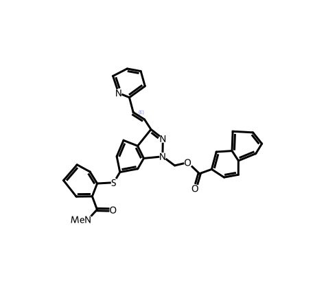 CNC(=O)c1ccccc1Sc1ccc2c(/C=C/c3ccccn3)nn(COC(=O)c3ccc4ccccc4c3)c2c1